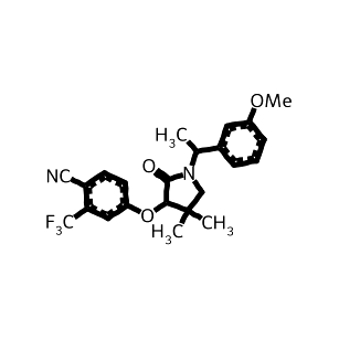 COc1cccc(C(C)N2CC(C)(C)C(Oc3ccc(C#N)c(C(F)(F)F)c3)C2=O)c1